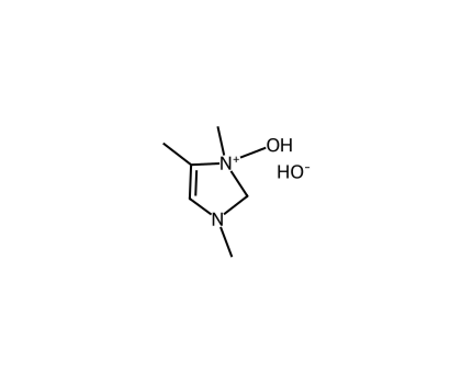 CC1=CN(C)C[N+]1(C)O.[OH-]